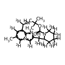 [2H]c1c(C)c([2H])n2c([2H])c(C([2H])([2H])[C@@]3([2H])N(C(=O)OC(C)(C)C)C([2H])([2H])C([2H])([2H])C([2H])([2H])C3([2H])[2H])nc2c1C([2H])[2H]